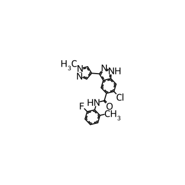 Cc1cccc(F)c1NC(=O)c1cc2c(-c3cnn(C)c3)n[nH]c2cc1Cl